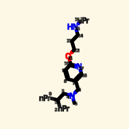 CCCC(CCC)CN(C)Cc1ccc(OCCCNC(C)C)nc1